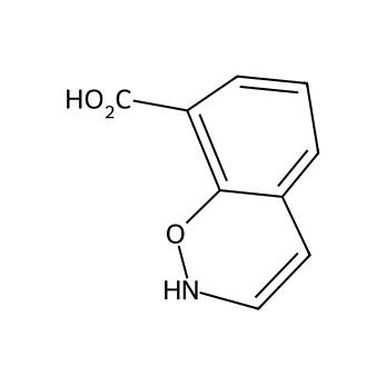 O=C(O)c1cccc2c1ONC=C2